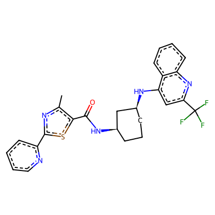 Cc1nc(-c2ccccn2)sc1C(=O)N[C@@H]1CCC[C@H](Nc2cc(C(F)(F)F)nc3ccccc23)C1